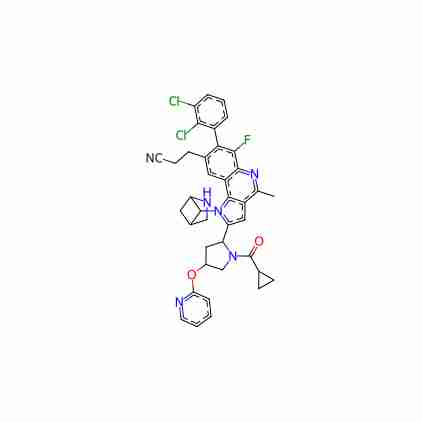 Cc1nc2c(F)c(-c3cccc(Cl)c3Cl)c(CCC#N)cc2c2c1cc(C1CC(Oc3ccccn3)CN1C(=O)C1CC1)n2C1C2CNC1C2